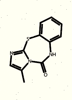 Cc1cnc2n1C(=O)Nc1ccccc1S2